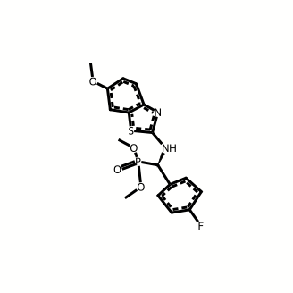 COc1ccc2nc(N[C@@H](c3ccc(F)cc3)P(=O)(OC)OC)sc2c1